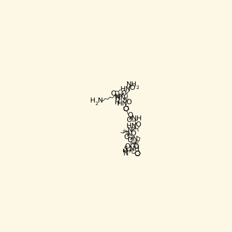 CC[C@H](C)[C@@H]([C@@H](CC(=O)N1CCC[C@H]1[C@H](OC)[C@@H](C)C(=O)N[C@H](Cc1ccccc1)c1nccs1)OC)N(C)C(=O)[C@@H](NC(=O)C(C)(C)NC(=O)OCc1ccc(NC(=O)[C@H](CCCNC(N)=O)NC(=O)[C@@H](NC(=O)CCCCCN)C(C)C)cc1)C(C)C